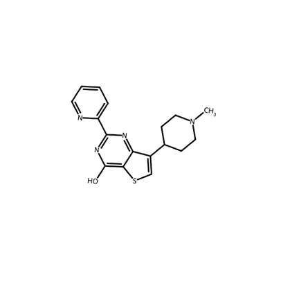 CN1CCC(c2csc3c(O)nc(-c4ccccn4)nc23)CC1